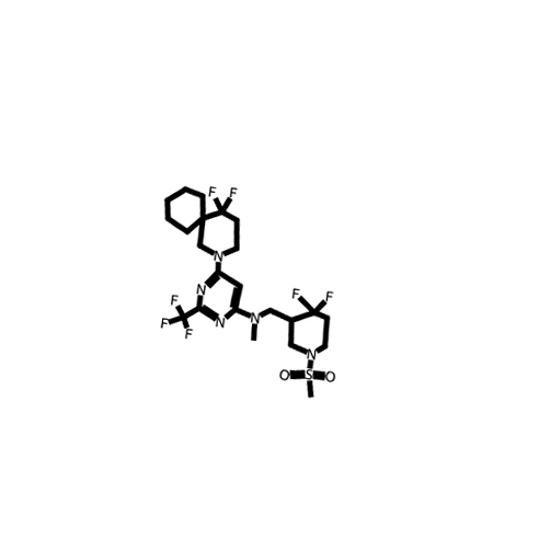 CN(CC1CN(S(C)(=O)=O)CCC1(F)F)c1cc(N2CCC(F)(F)C3(CCCCC3)C2)nc(C(F)(F)F)n1